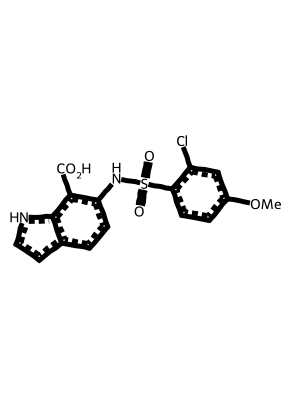 COc1ccc(S(=O)(=O)Nc2ccc3cc[nH]c3c2C(=O)O)c(Cl)c1